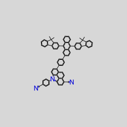 CC1(C)c2ccccc2-c2ccc(-c3c4ccccc4c(-c4ccc5c(c4)C(C)(C)c4ccccc4-5)c4cc(-c5ccc(-c6ccc7c8c6ccc6c(C#N)ccc(c68)n7-c6ccc(C#N)cc6)cc5)ccc34)cc21